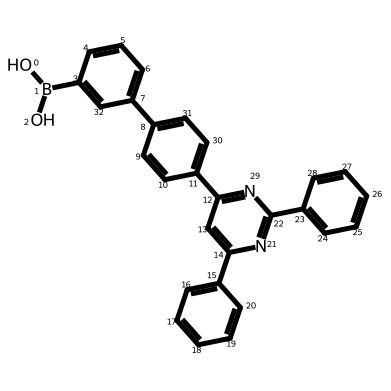 OB(O)c1cccc(-c2ccc(-c3cc(-c4ccccc4)nc(-c4ccccc4)n3)cc2)c1